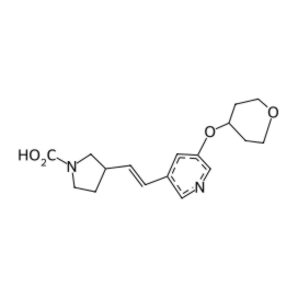 O=C(O)N1CCC(C=Cc2cncc(OC3CCOCC3)c2)C1